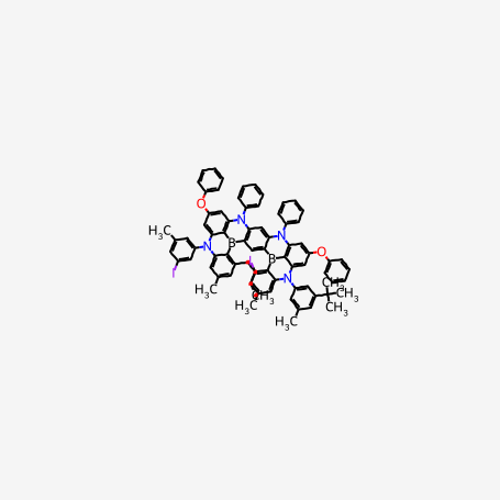 CCCCc1cc(C)cc2c1B1c3cc4c(cc3N(c3ccccc3)c3cc(Oc5ccccc5)cc(c31)N2c1cc(C)cc(I)c1)N(c1ccccc1)c1cc(Oc2ccccc2)cc2c1B4c1c(I)cc(C)cc1N2c1cc(C)cc(C(C)(C)C)c1